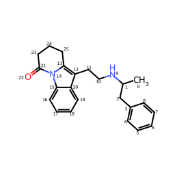 CC(Cc1ccccc1)NCCc1c2n(c3ccccc13)C(=O)CCC2